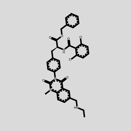 CCNCc1ccc2c(c1)c(=O)n(-c1ccc(C[C@H](NC(=O)c3c(Cl)cccc3Cl)C(=O)OCc3ccccc3)cc1)c(=O)n2C